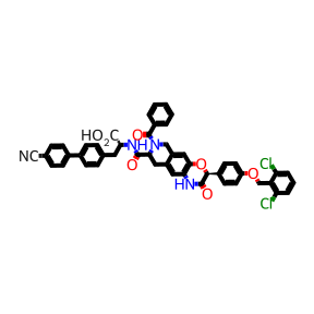 N#Cc1ccc(-c2ccc(C[C@H](NC(=O)C3Cc4cc5c(cc4CN3C(=O)c3ccccc3)O[C@@H](c3ccc(OCc4c(Cl)cccc4Cl)cc3)C(=O)N5)C(=O)O)cc2)cc1